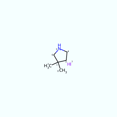 CC1(C)CCNC1.I